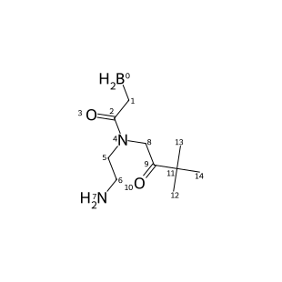 BCC(=O)N(CCN)CC(=O)C(C)(C)C